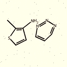 Cc1sccc1N.c1cnnnc1